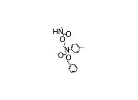 CNC(=O)OCCN(C(=O)OCc1ccccc1)c1ccc(C)cc1